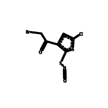 O=NSc1sc(Cl)cc1C(=O)CBr